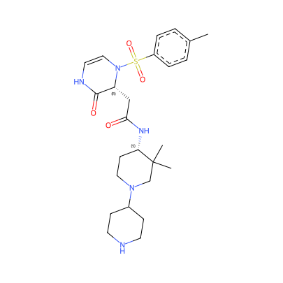 Cc1ccc(S(=O)(=O)N2C=CNC(=O)[C@H]2CC(=O)N[C@H]2CCN(C3CCNCC3)CC2(C)C)cc1